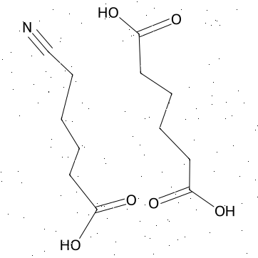 N#CCCCCC(=O)O.O=C(O)CCCCC(=O)O